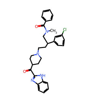 CN(CC(CCN1CCC(C(=O)c2nc3ccccc3[nH]2)CC1)c1cccc(Cl)c1)C(=O)c1ccccc1